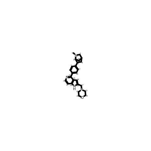 CN1CC2CC(c3ccc(-c4nccc5[nH]c(CN6CCOCC6)cc45)cc3)C1C2